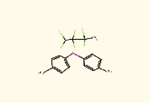 CC(C)(C)c1ccc([I+]c2ccc(C(C)(C)C)cc2)cc1.FC(F)C(F)(F)C(F)(F)C(F)(F)F